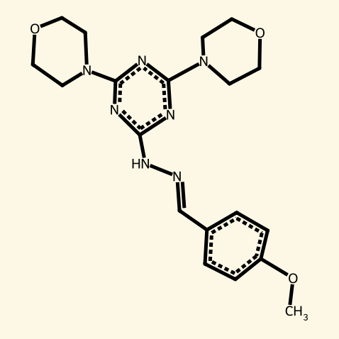 COc1ccc(/C=N/Nc2nc(N3CCOCC3)nc(N3CCOCC3)n2)cc1